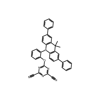 CC1(C)c2cc(-c3ccccc3)ccc2N(c2ccccc2Oc2nc(C#N)nc(C#N)n2)c2ccc(-c3ccccc3)cc21